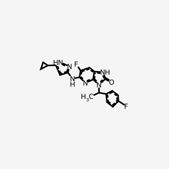 CC(c1ccc(F)cc1)n1c(=O)[nH]c2cc(F)c(Nc3cc(C4CC4)[nH]n3)nc21